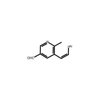 CCC/C=C\c1cc(C=O)cnc1C